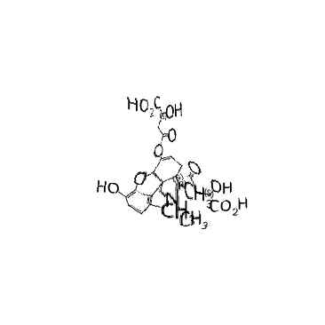 Cc1ccc(O)c2c1C13CCN(C)[C@H](C)[C@]1(C(=O)C[C@H](O)C(=O)O)CC=C(OC(=O)C[C@H](O)C(=O)O)C3O2